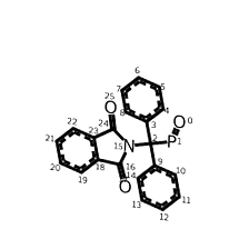 O=PC(c1ccccc1)(c1ccccc1)N1C(=O)c2ccccc2C1=O